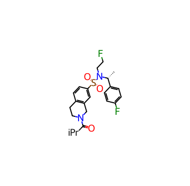 CC(C)C(=O)N1CCc2ccc(S(=O)(=O)N(CCF)[C@H](C)c3ccc(F)cc3)cc2C1